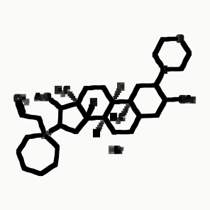 Br.C=CC[N+]1(C2C[C@H]3[C@@H]4CCC5CC(OC(C)=O)C(N6CCOCC6)C[C@]5(C)[C@@H]4CC[C@]3(C)C2OC(C)=O)CCCCCC1